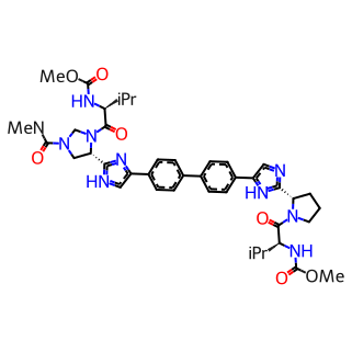 CNC(=O)N1C[C@@H](c2nc(-c3ccc(-c4ccc(-c5cnc([C@@H]6CCCN6C(=O)[C@@H](NC(=O)OC)C(C)C)[nH]5)cc4)cc3)c[nH]2)N(C(=O)[C@@H](NC(=O)OC)C(C)C)C1